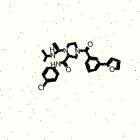 C=C(NC(C)C)N1CCN(C(=O)c2cccc(-c3ccco3)c2)CC1C(=O)Nc1ccc(Cl)cc1